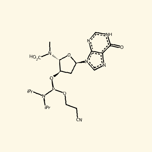 CC(C)N(C(C)C)P(OCCC#N)O[C@@H]1C[C@H](n2cnc3c(=O)[nH]cnc32)O[C@H]1N(C)C(=O)O